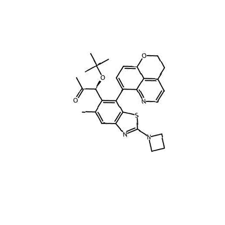 CC(=O)[C@@H](OC(C)(C)C)c1c(C)cc2nc(N3CCC3)sc2c1-c1ccc2c3c(ccnc13)CCO2